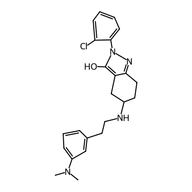 CN(C)c1cccc(CCNC2CCc3nn(-c4ccccc4Cl)c(O)c3C2)c1